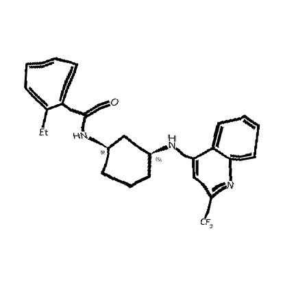 CCc1ccccc1C(=O)N[C@@H]1CCC[C@H](Nc2cc(C(F)(F)F)nc3ccccc23)C1